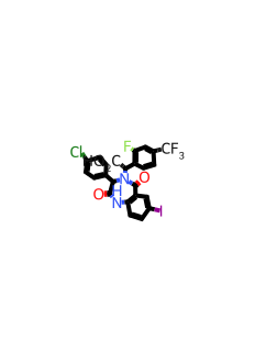 O=C1Nc2ccc(I)cc2C(=O)N(C(C(=O)O)c2ccc(C(F)(F)F)cc2F)C1c1ccc(Cl)cc1